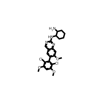 COc1cc2nc(NC3CCCCC3N)ncc2cc1-c1c(Cl)c(OC)cc(OC)c1Cl